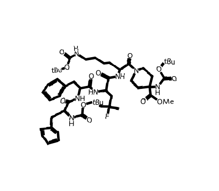 COC(=O)C1(NC(=O)OC(C)(C)C)CCN(C(=O)C(CCCCNC(=O)OC(C)(C)C)NC(=O)C(CC(C)(C)F)NC(=O)C(Cc2ccccc2)NC(=O)C(Cc2ccccc2)NC(=O)OC(C)(C)C)CC1